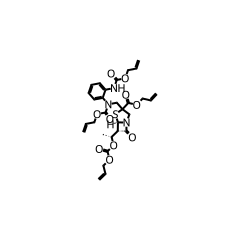 C=CCOC(=O)Nc1ccccc1N(CC1(C(=O)OCC=C)CN2C(=O)[C@H]([C@@H](C)OC(=O)OCC=C)[C@H]2S1)C(=O)OCC=C